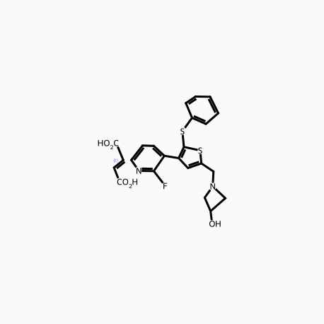 O=C(O)/C=C/C(=O)O.OC1CN(Cc2cc(-c3cccnc3F)c(Sc3ccccc3)s2)C1